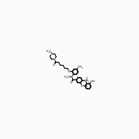 COc1cc(C(=O)N(C)c2ccc(C)cc2OCCCCCC(=O)N2CCN(C)CC2)ccc1N(C)c1ccccc1O